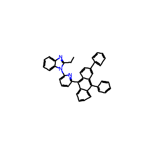 CCc1nc2ccccc2n1-c1cccc(-c2c3ccccc3c(-c3ccccc3)c3cc(-c4ccccc4)ccc23)n1